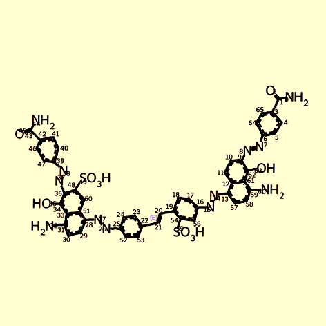 NC(=O)c1ccc(N=Nc2ccc3c(N=Nc4ccc(/C=C/c5ccc(N=Nc6ccc(N)c7c(O)c(N=Nc8ccc(C(N)=O)cc8)c(S(=O)(=O)O)cc67)cc5)c(S(=O)(=O)O)c4)ccc(N)c3c2O)cc1